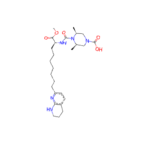 COC(=O)[C@H](CCCCCCCc1ccc2c(n1)NCCC2)NC(=O)N1[C@H](C)CN(C(=O)O)C[C@@H]1C